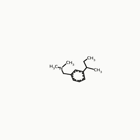 CCC(C)c1cccc(CN(C)C)c1